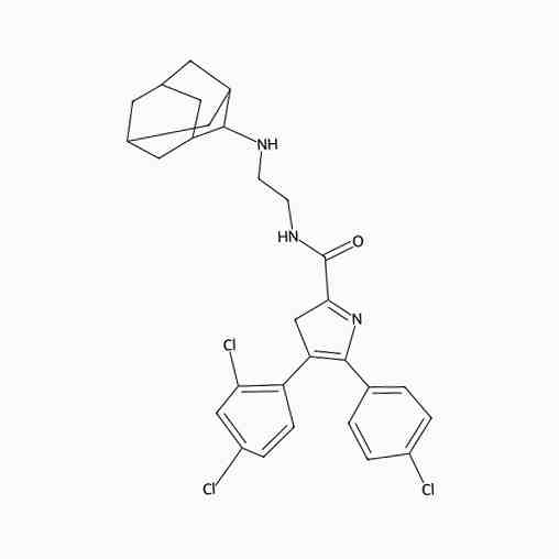 O=C(NCCNC1C2CC3CC(C2)CC1C3)C1=NC(c2ccc(Cl)cc2)=C(c2ccc(Cl)cc2Cl)C1